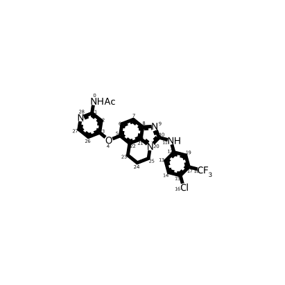 CC(=O)Nc1cc(Oc2ccc3nc(Nc4ccc(Cl)c(C(F)(F)F)c4)n4c3c2CCC4)ccn1